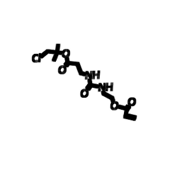 C=CC(=O)OCCNC(=O)NCCC(=O)OC(C)(C)CCl